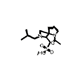 CC(=O)N1CCCC12CN(CC(C)C)C2CS(=O)(=O)O